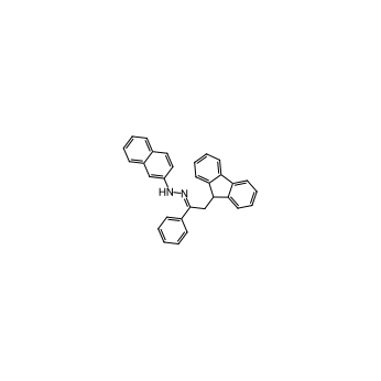 c1ccc(C(CC2c3ccccc3-c3ccccc32)=NNc2ccc3ccccc3c2)cc1